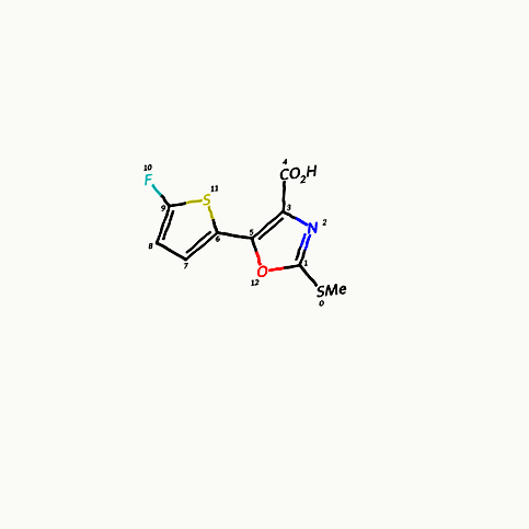 CSc1nc(C(=O)O)c(-c2ccc(F)s2)o1